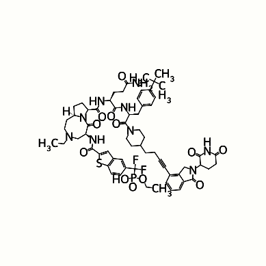 CCOP(=O)(O)C(F)(F)c1ccc2sc(C(=O)N[C@H]3CN(CC)CC[C@H]4CC[C@@H](C(=O)N[C@@H](CCC(N)=O)C(=O)N[C@@H](Cc5ccc(C(C)(C)C)cc5)C(=O)N5CCC(CCC#Cc6cccc7c6CN(C6CCC(=O)NC6=O)C7=O)CC5)N4C3=O)cc2c1